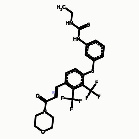 CCNC(=S)Nc1cccc(Sc2ccc(/C=C/C(=O)N3CCOCC3)c(C(F)(F)F)c2C(F)(F)F)c1